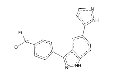 CC[S+]([O-])c1ccc(-c2n[nH]c3ccc(-c4ncn[nH]4)cc23)cc1